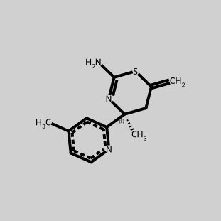 C=C1C[C@@](C)(c2cc(C)ccn2)N=C(N)S1